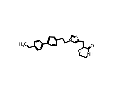 CCc1ccc(-c2ccc(CCn3cnc(CC4OCCNC4=O)c3)cc2)cc1